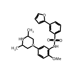 COc1ccc(N2CC(C)NC(C)C2)cc1NS(=O)(=O)c1cccc(-c2ccco2)c1